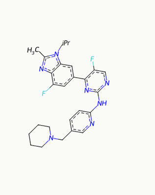 Cc1nc2c(F)cc(-c3nc(Nc4ccc(CN5CCCCC5)cn4)ncc3F)cc2n1C(C)C